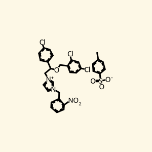 Cc1ccc(S(=O)(=O)[O-])cc1.O=[N+]([O-])c1ccccc1Cn1cc[n+](CC(OCc2ccc(Cl)cc2Cl)c2ccc(Cl)cc2)c1